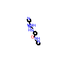 O=C(NCc1ccccn1)c1cccc(NCc2nnc(-c3ccncc3)[nH]2)c1